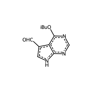 CC(C)COc1ncnc2[nH]cc(C=O)c12